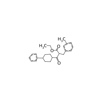 CCOC(=O)C(Cc1cccc(C)c1)C(=O)C1CCC(c2ccccc2)CC1